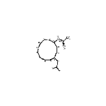 CC(C)CC1CCCCCCCCC(O[N+](=O)[O-])CC1